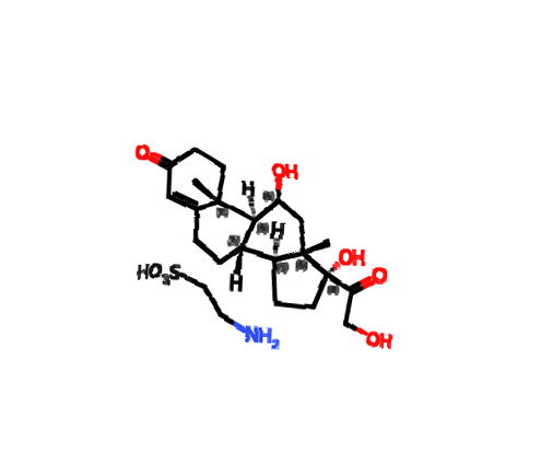 C[C@]12CCC(=O)C=C1CC[C@@H]1[C@@H]2[C@@H](O)C[C@@]2(C)[C@H]1CC[C@]2(O)C(=O)CO.NCCS(=O)(=O)O